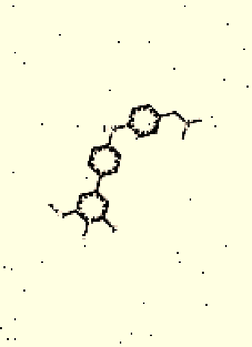 COc1cc(-c2ccc(Nc3ccc(CN(C)C)cc3)cc2)cc(F)c1F